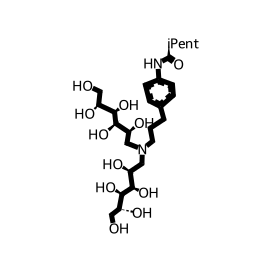 CCC[C@H](C)C(=O)Nc1ccc(CCCN(C[C@H](O)[C@@H](O)[C@H](O)[C@H](O)CO)C[C@H](O)[C@@H](O)[C@H](O)[C@H](O)CO)cc1